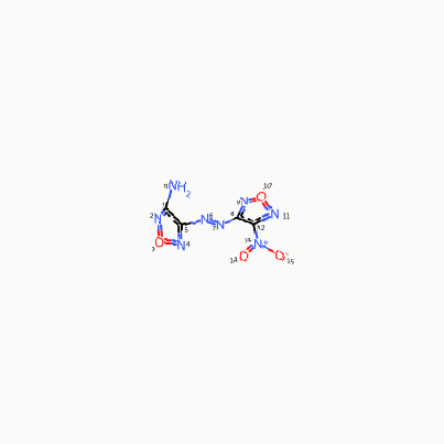 Nc1nonc1N=Nc1nonc1[N+](=O)[O-]